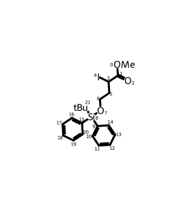 COC(=O)C(I)CCO[Si](c1ccccc1)(c1ccccc1)C(C)(C)C